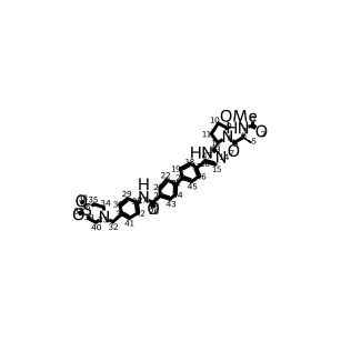 COC(=O)N[C@@H](C)C(=O)N1CCC[C@@H]1c1ncc(-c2ccc(-c3ccc(C(=O)Nc4ccc(CN5CCS(=O)(=O)CC5)cc4)cc3)cc2)[nH]1